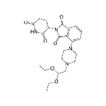 CCOC(CN1CCN(c2cccc3c2C(=O)N(C2CCC(=O)NC2=O)C3=O)CC1)OCC